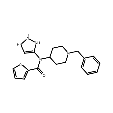 O=C(c1cccs1)N(C1=CNNN1)C1CCN(Cc2ccccc2)CC1